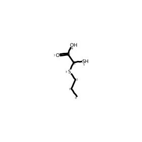 CCCSC(S)C(=O)O